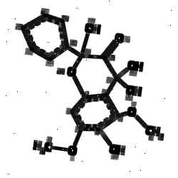 COc1cc2c(c(OC)c1O)C(O)(O)C(=O)C(O)(c1ccccc1)O2